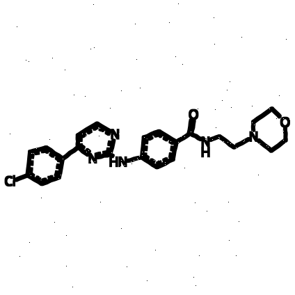 O=C(NCCN1CCOCC1)c1ccc(Nc2nccc(-c3ccc(Cl)cc3)n2)cc1